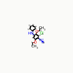 CCOc1cc(Nc2ccccc2)c(OCC)cc1[N+]#N.[Cl-]